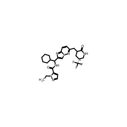 CCn1nccc1C(=O)NC(c1cn2nc(CC3C[C@@H](C(F)(F)F)CNC3=O)ccc2n1)C1CCCCC1